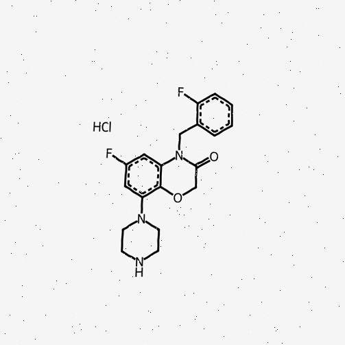 Cl.O=C1COc2c(N3CCNCC3)cc(F)cc2N1Cc1ccccc1F